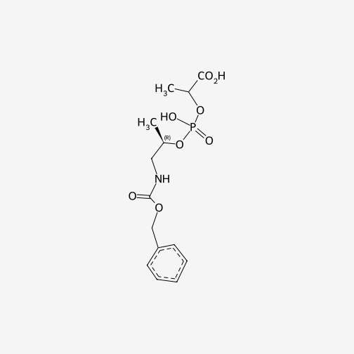 CC(OP(=O)(O)O[C@H](C)CNC(=O)OCc1ccccc1)C(=O)O